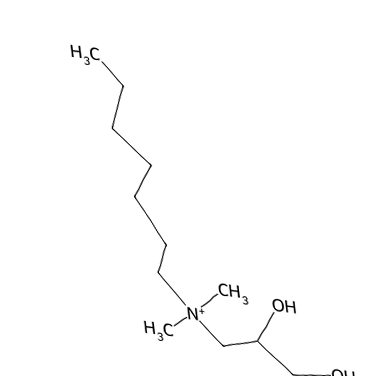 CCCCCCC[N+](C)(C)CC(O)CO